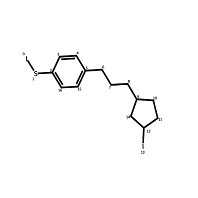 ISc1ccc(CCCC2CCC(I)C2)cc1